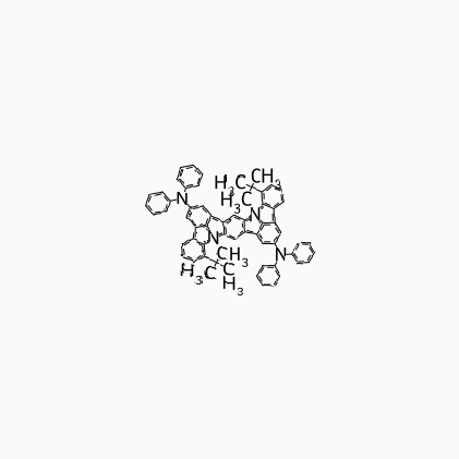 CC(C)(C)c1cccc2c3cc(N(c4ccccc4)c4ccccc4)cc4c5cc6c(cc5n(c12)c43)c1cc(N(c2ccccc2)c2ccccc2)cc2c3cccc(C(C)(C)C)c3n6c12